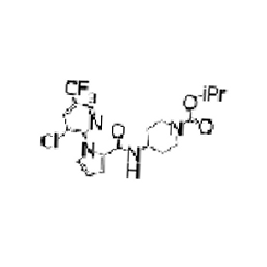 CC(C)OC(=O)N1CCC(NC(=O)c2cccn2-c2ncc(C(F)(F)F)cc2Cl)CC1